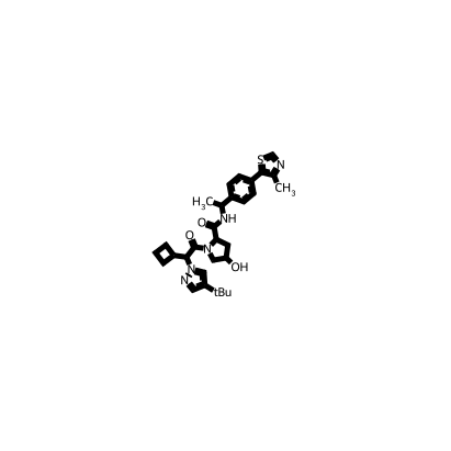 Cc1ncsc1-c1ccc(C(C)NC(=O)C2CC(O)CN2C(=O)C(C2CCC2)n2cc(C(C)(C)C)cn2)cc1